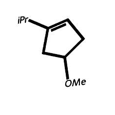 COC1CC=C(C(C)C)C1